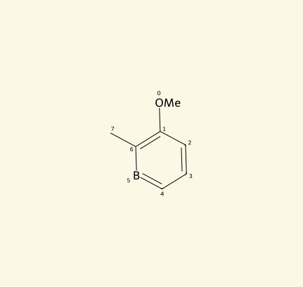 COc1cccbc1C